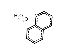 O.O.c1ccc2ncncc2c1